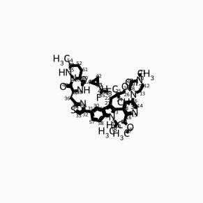 CCn1c(-c2cc(N3CCN(C)CC3)cnc2[C@H](C)OC)c(CC(C)(C)COC)c2cc(-c3csc(C[C@H](NC(=O)[C@@H]4C[C@H]4C(F)F)C(=O)N4CCC[C@@H](C)N4)n3)ccc21